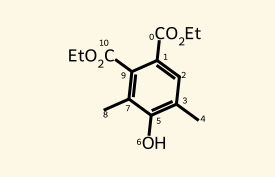 CCOC(=O)c1cc(C)c(O)c(C)c1C(=O)OCC